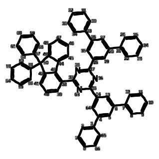 c1ccc(-c2cc(-c3ccccc3)cc(-c3nc(-c4cc(-c5ccccc5)cc(-c5ccccc5)c4)nc(-c4cccc5c4-c4ccccc4C5(c4ccccc4)c4ccccc4)n3)c2)cc1